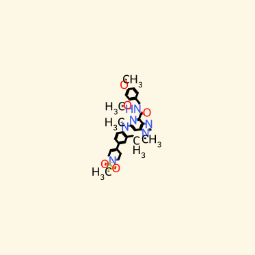 CCc1cc(C2=CCN(S(C)(=O)=O)CC2)ccc1N(C)c1cc2c(ncn2C)c(C(=O)NCc2ccc(OC)cc2OC)n1